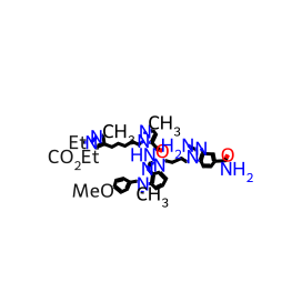 CCOC(=O)c1c(CCCCCn2nc(C)cc2C(=O)Nc2nc3c(N(C)Cc4ccc(OC)cc4)cccc3n2CCCCn2c(N)nc3cc(C(N)=O)ccc32)c(C)nn1CC